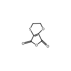 O=C1OC(=O)C2=C1OCCS2